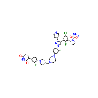 NS(=O)(=O)N1CCCC1c1cc(Cl)cc(-c2cn(-c3ccc(N4CCCN(CC5CCN(c6ccc(C7CCC(=O)NC7=O)cc6F)CC5)CC4)cc3F)nc2-c2ccncc2)c1F